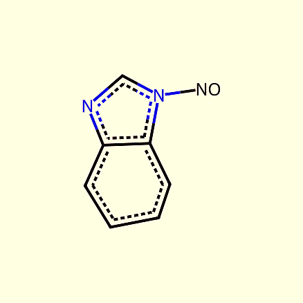 O=Nn1cnc2ccccc21